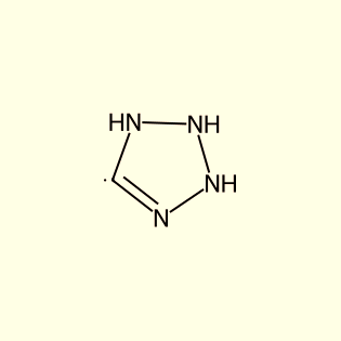 [C]1=NNNN1